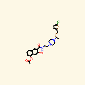 CC(=O)Oc1cccc2cc(C(=O)NCCN3CCN(C(C)SCc4ccc(Cl)s4)CC3)c(O)cc12